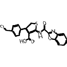 O=Cc1ccc(C2CSC(NC(=O)c3nc4ccccc4o3)=C2C(=O)O)cc1